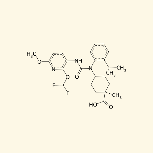 COc1ccc(NC(=O)N(c2ccccc2C(C)C)C2CCC(C)(C(=O)O)CC2)c(OC(F)F)n1